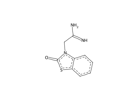 N=C(N)Cn1c(=O)sc2ccccc21